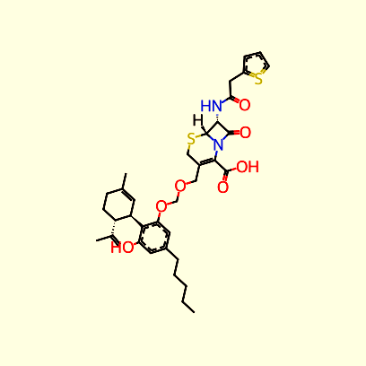 C=C(C)[C@@H]1CCC(C)=C[C@H]1c1c(O)cc(CCCCC)cc1OCOCC1=C(C(=O)O)N2C(=O)[C@@H](NC(=O)Cc3cccs3)[C@H]2SC1